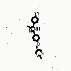 Cc1ncc(COc2ccc(-c3nc(C)c(-c4ccc(Cl)cc4)[nH]3)cc2)cn1